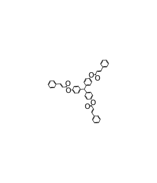 O=C(/C=C/c1ccccc1)Oc1ccc(C(c2ccc(OC(=O)/C=C/c3ccccc3)cc2)c2ccc(OC(=O)/C=C/c3ccccc3)cc2)cc1